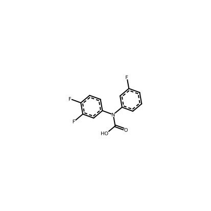 O=C(O)N(c1cccc(F)c1)c1ccc(F)c(F)c1